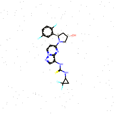 O[C@H]1C[C@H](c2cc(F)ccc2F)N(c2ccn3ncc(NC(=S)NC4CC4(F)F)c3n2)C1